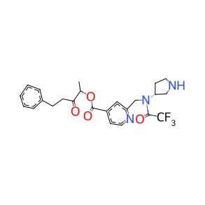 CC(OC(=O)c1ccnc(CN(C(=O)C(F)(F)F)[C@@H]2CCNC2)c1)C(=O)CCc1ccccc1